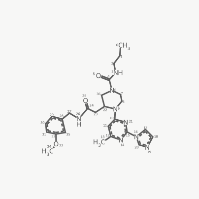 CCCNC(=O)N1CCN(c2cc(C)nc(-n3ccnc3)n2)C(CC(=O)NCc2cccc(OC)c2)C1